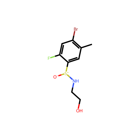 Cc1cc([S+]([O-])NCCO)c(F)cc1Br